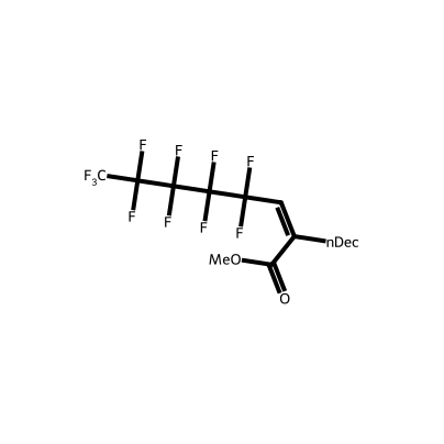 CCCCCCCCCCC(=CC(F)(F)C(F)(F)C(F)(F)C(F)(F)C(F)(F)F)C(=O)OC